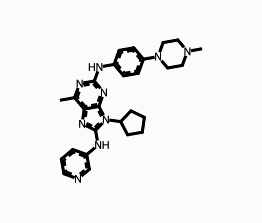 Cc1nc(Nc2ccc(N3CCN(C)CC3)cc2)nc2c1nc(Nc1cccnc1)n2C1CCCC1